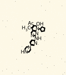 CC(=O)C1=C(C)c2cnc(Nc3ccc(N4CCNCC4)cn3)nc2N(C2CCCC2)C1O